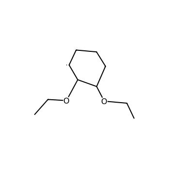 CCOC1[CH]CCCC1OCC